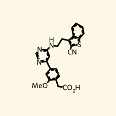 COc1cc(-c2cc(NCCc3c(C#N)sc4ccccc34)ncn2)ccc1CC(=O)O